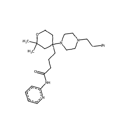 CC(C)CCN1CCN(C2(CCCC(=O)Nc3ccccn3)CCOC(C)(C)C2)CC1